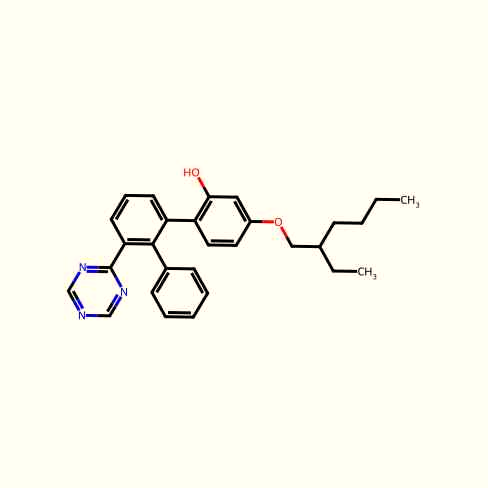 CCCCC(CC)COc1ccc(-c2cccc(-c3ncncn3)c2-c2ccccc2)c(O)c1